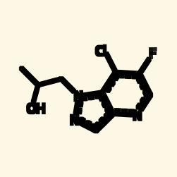 CC(O)Cn1ncc2ncc(F)c(Cl)c21